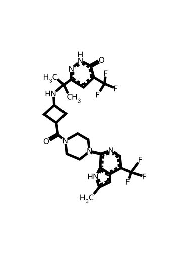 Cc1cc2c(C(F)(F)F)cnc(N3CCN(C(=O)C4CC(NC(C)(C)c5cc(C(F)(F)F)c(=O)[nH]n5)C4)CC3)c2[nH]1